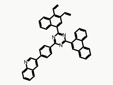 C=Cc1cc(-c2nc(-c3ccc(-c4cnc5ccccc5c4)cc3)nc(-c3cc4ccccc4c4ccccc34)n2)c2ccccc2c1C=C